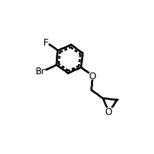 Fc1ccc(OCC2CO2)cc1Br